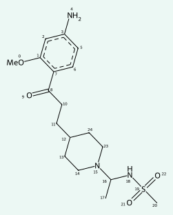 COc1cc(N)ccc1C(=O)CCC1CCN(C(C)NS(C)(=O)=O)CC1